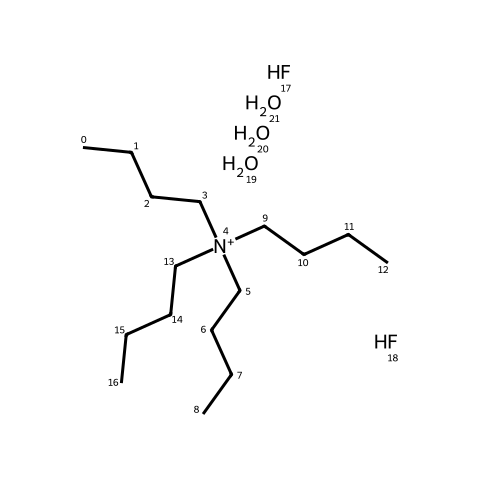 CCCC[N+](CCCC)(CCCC)CCCC.F.F.O.O.O